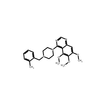 COc1cc2ncnc(N3CCN(Cc4ccccc4C)CC3)c2c(OC)c1OC